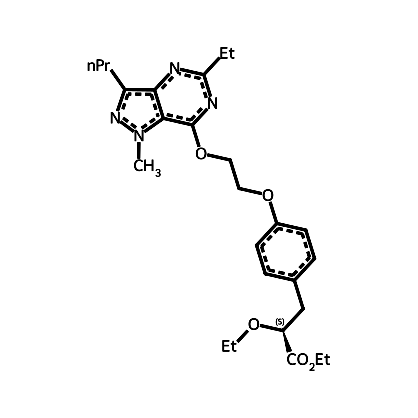 CCCc1nn(C)c2c(OCCOc3ccc(C[C@H](OCC)C(=O)OCC)cc3)nc(CC)nc12